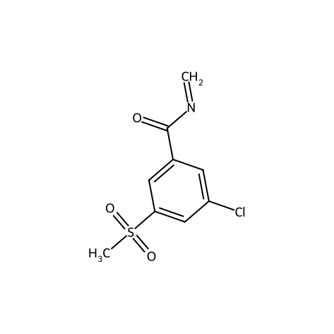 C=NC(=O)c1cc(Cl)cc(S(C)(=O)=O)c1